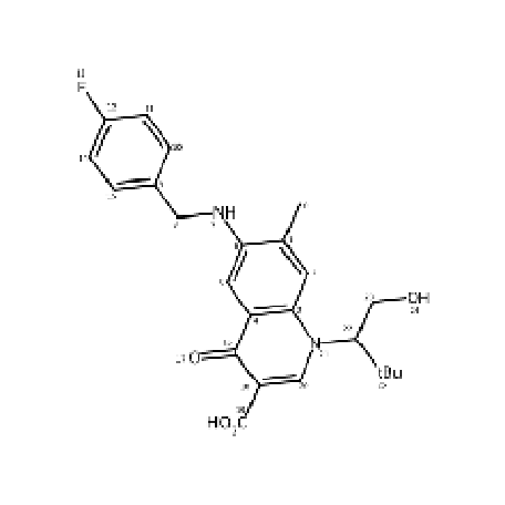 Cc1cc2c(cc1NCc1ccc(F)cc1)c(=O)c(C(=O)O)cn2C(CO)C(C)(C)C